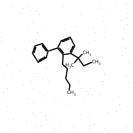 CCCCCc1c(-c2ccccc2)cccc1C(C)(C)CC